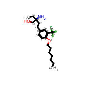 CCCCCCCOc1ccc(CCC(N)(CC)CO)cc1C(F)(F)F